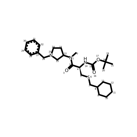 CN(C(=O)[C@H](CSCC1CCCCC1)NC(=O)OC(C)(C)C)C1CCN(Cc2ccccc2)C1